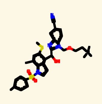 CSc1cc(C)c2c(ccn2S(=O)(=O)c2ccc(C)cc2)c1C(O)c1nc2cc(C#N)ccc2n1COCC[Si](C)(C)C